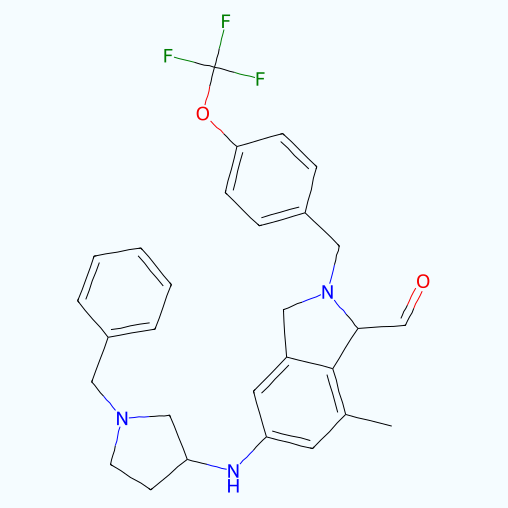 Cc1cc(NC2CCN(Cc3ccccc3)C2)cc2c1C(C=O)N(Cc1ccc(OC(F)(F)F)cc1)C2